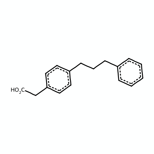 O=C(O)Cc1ccc(CCCc2ccccc2)cc1